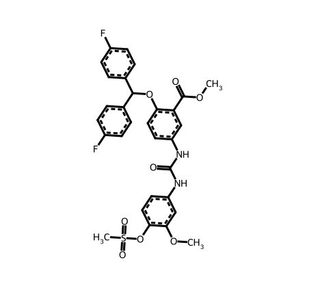 COC(=O)c1cc(NC(=O)Nc2ccc(OS(C)(=O)=O)c(OC)c2)ccc1OC(c1ccc(F)cc1)c1ccc(F)cc1